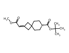 COC(=O)C=C1CC2(CCN(C(=O)OC(C)(C)C)CC2)C1